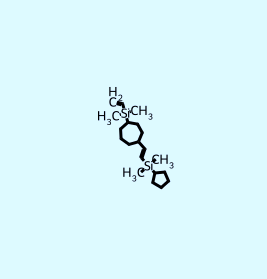 C=C[Si](C)(C)C1CCCC(/C=C/[Si](C)(C)C2CCCC2)CC1